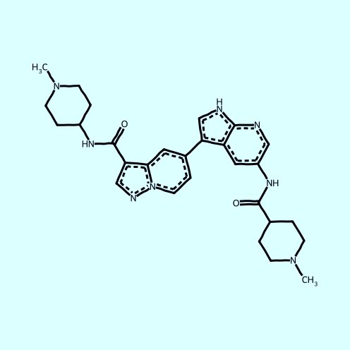 CN1CCC(NC(=O)c2cnn3ccc(-c4c[nH]c5ncc(NC(=O)C6CCN(C)CC6)cc45)cc23)CC1